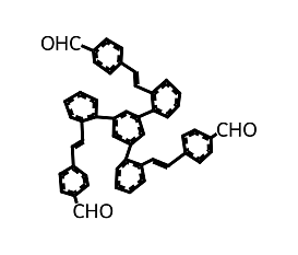 O=Cc1ccc(C=Cc2ccccc2-c2cc(-c3ccccc3C=Cc3ccc(C=O)cc3)cc(-c3ccccc3C=Cc3ccc(C=O)cc3)c2)cc1